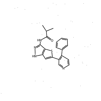 CC(C)C(=O)Nc1n[nH]c2cc(-c3cnccc3-c3ccccc3)sc12